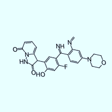 C=Nc1cc(N2CCOCC2)ccc1C(=N)c1cc(C2C(=O)Nn3c2cccc3=O)c(O)cc1F